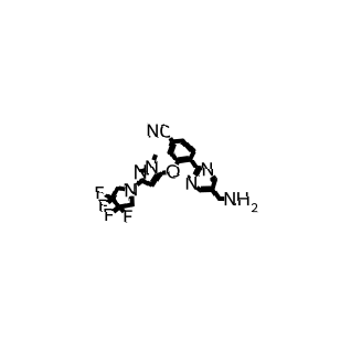 Cn1nc(N2CC(F)(F)C(F)(F)C2)cc1Oc1cc(C#N)ccc1-c1ncc(CN)cn1